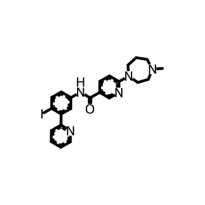 CN1CCCN(c2ccc(C(=O)Nc3ccc(I)c(-c4ccccn4)c3)cn2)CC1